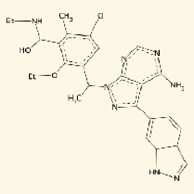 CCNC(O)c1c(C)c(Cl)cc(C(C)n2nc(C3=CC4NN=CC4C=C3)c3c(N)ncnc32)c1OCC